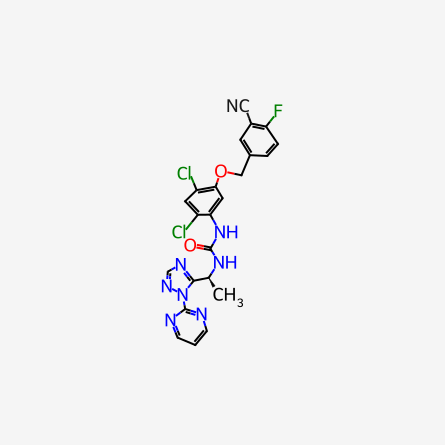 C[C@H](NC(=O)Nc1cc(OCc2ccc(F)c(C#N)c2)c(Cl)cc1Cl)c1ncnn1-c1ncccn1